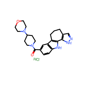 Cl.O=C(c1ccc2[nH]c3c(c2c1)CCCc1cn[nH]c1-3)N1CCC(N2CCOCC2)CC1